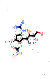 BNC(=O)O[C@H]1[C@@H]([C@H](NC(C)=O)[C@@H](O)[C@@H](O)CO)[C@H](NC(=N)N)C[C@@H]1C(=O)O